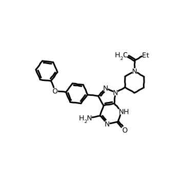 C=C(CC)N1CCCC(n2nc(-c3ccc(Oc4ccccc4)cc3)c3c(N)nc(=O)[nH]c32)C1